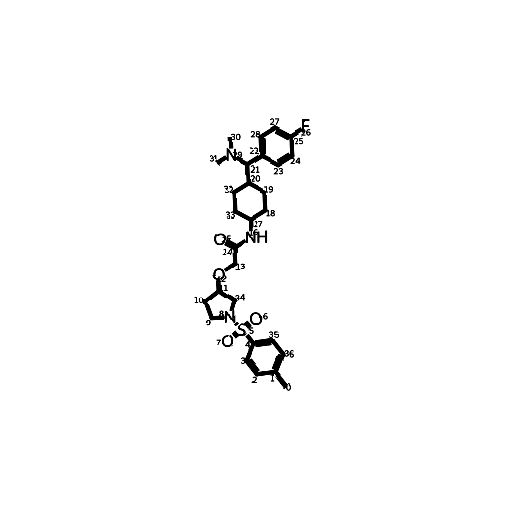 Cc1ccc(S(=O)(=O)N2CCC(OCC(=O)NC3CCC(C(c4ccc(F)cc4)N(C)C)CC3)C2)cc1